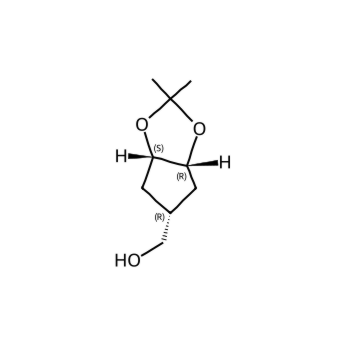 CC1(C)O[C@H]2C[C@@H](CO)C[C@H]2O1